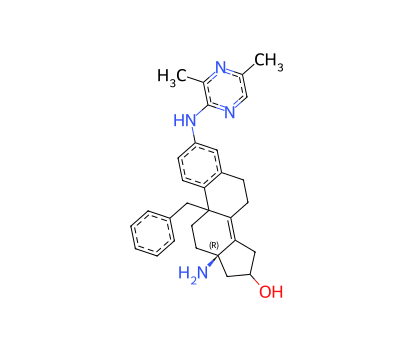 Cc1cnc(Nc2ccc3c(c2)CCC2=C4CC(O)C[C@]4(N)CCC23Cc2ccccc2)c(C)n1